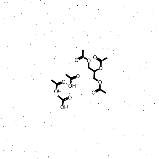 CC(=O)O.CC(=O)O.CC(=O)O.CC(=O)OCC(COC(C)=O)OC(C)=O